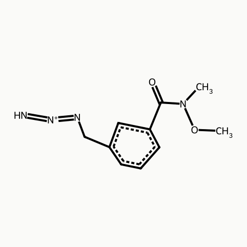 CON(C)C(=O)c1cccc(CN=[N+]=N)c1